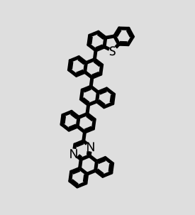 c1ccc2c(c1)sc1c(-c3ccc(-c4ccc(-c5ccc(-c6cnc7c8ccccc8c8ccccc8c7n6)c6ccccc56)c5ccccc45)c4ccccc34)cccc12